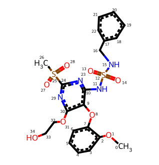 COc1ccccc1Oc1c(NS(=O)(=O)NCc2ccccc2)nc(S(C)(=O)=O)nc1OCCO